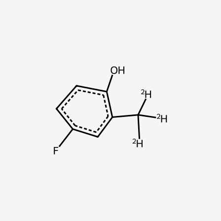 [2H]C([2H])([2H])c1cc(F)ccc1O